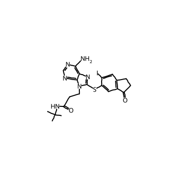 CC(C)(C)NC(=O)CCn1c(Sc2cc3c(cc2I)CCC3=O)nc2c(N)ncnc21